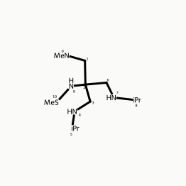 CNCC(CNC(C)C)(CNC(C)C)NSC